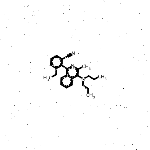 CCCN(CCC)c1c(C)nc(-c2c(C#N)cccc2CC)c2ccccc12